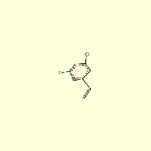 C=[C]c1cc(F)cc(Cl)c1